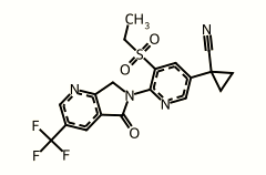 CCS(=O)(=O)c1cc(C2(C#N)CC2)cnc1N1Cc2ncc(C(F)(F)F)cc2C1=O